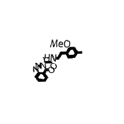 COc1cc(C)ccc1CCNC(=O)[C@@H](C)n1nnc2ccccc2c1=O